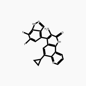 Nc1c(-c2cc(F)c(F)c3[nH]ncc23)c2cc(C3CC3)c3ncccc3c2[nH]c1=O